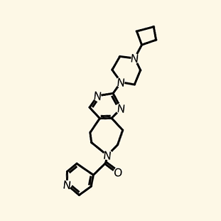 O=C(c1ccncc1)N1CCc2cnc(N3CCN(C4CCC4)CC3)nc2CC1